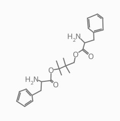 CC(C)(COC(=O)C(N)Cc1ccccc1)C(C)(C)OC(=O)C(N)Cc1ccccc1